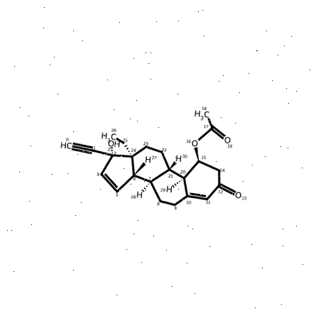 C#C[C@]1(O)C=C[C@H]2[C@@H]3CCC4=CC(=O)C[C@H](OC(C)=O)[C@@H]4[C@H]3CC[C@@]21CC